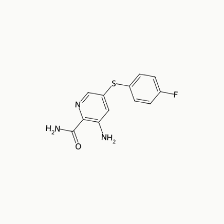 NC(=O)c1ncc(Sc2ccc(F)cc2)cc1N